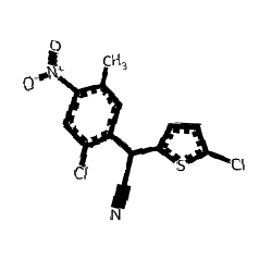 Cc1cc(C(C#N)c2ccc(Cl)s2)c(Cl)cc1[N+](=O)[O-]